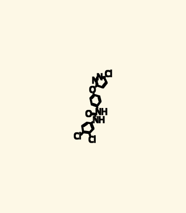 O=C(Nc1ccc(Oc2ccc(Cl)nn2)cc1)Nc1ccc(Cl)c(Cl)c1